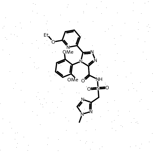 CCOc1cccc(-c2nnc(C(=O)NS(=O)(=O)Cc3ncn(C)n3)n2-c2c(OC)cccc2OC)n1